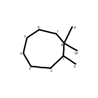 CC1CCCCCCC1(C)C